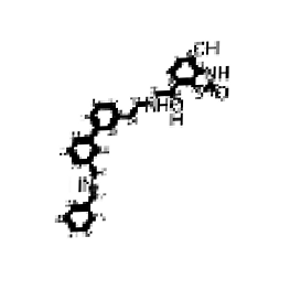 O=c1[nH]c2c(O)ccc(C(O)CNCCc3cccc(-c4cccc(CNCc5ccccc5)c4)c3)c2s1